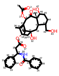 CC(=O)O[C@H]1C(=O)[C@@]2(C)C(C[C@]3(O)C[C@H](OC(=O)CC(NC(=O)c4ccccc4)c4ccccc4)C(C)=C1C3(C)C)C(CO)CC[C@@H]2O